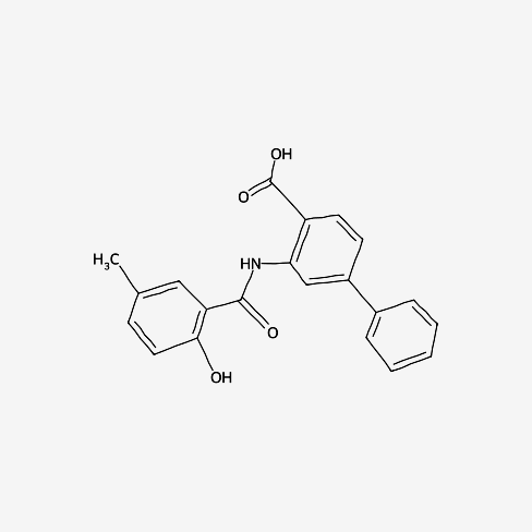 Cc1ccc(O)c(C(=O)Nc2cc(-c3ccccc3)ccc2C(=O)O)c1